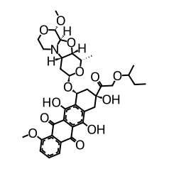 CCC(C)OCC(=O)[C@]1(O)Cc2c(O)c3c(c(O)c2[C@@H](O[C@H]2C[C@H]4[C@H](O[C@@H]5[C@@H](OC)OCCN54)[C@H](C)O2)C1)C(=O)c1c(OC)cccc1C3=O